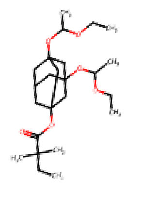 CCOC(C)OC12CC3CC(OC(=O)C(C)(C)CC)(C1)CC(OC(C)OCC)(C3)C2